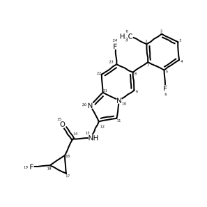 Cc1cccc(F)c1-c1cn2cc(NC(=O)C3CC3F)nc2cc1F